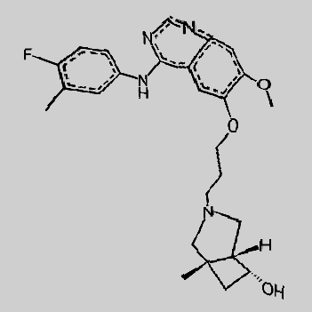 COc1cc2ncnc(Nc3ccc(F)c(C)c3)c2cc1OCCCN1C[C@@H]2[C@H](O)C[C@]2(C)C1